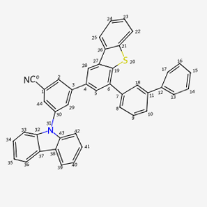 N#Cc1cc(-c2cc(-c3cccc(-c4ccccc4)c3)c3sc4ccccc4c3c2)cc(-n2c3ccccc3c3ccccc32)c1